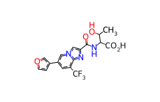 CC(O)C(NC(=O)c1cn2cc(-c3ccoc3)cc(C(F)(F)F)c2n1)C(=O)O